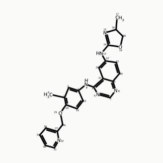 Cc1cc(Nc2ncnc3ccc(NC4=NC(C)CO4)cc23)ccc1OCc1ccccn1